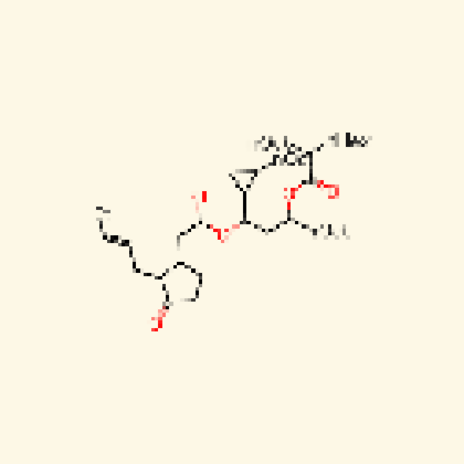 CCC=CCC1C(=O)CCC1CC(=O)OC(CC(CCCCCCCC)OC(=O)C(CCCCCC)CCCCCCCC)C1CC1CCCCCCCC